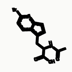 CC(=O)NC(Cc1ccc2sc(Br)ccc1-2)C(=O)O